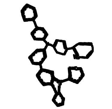 C1=C[SH]=C(C2=CC=C(N(c3ccc(-c4ccccc4)cc3)c3cccc(-c4ccc5c6ccccc6n(-c6ccccc6)c5c4)c3)CC2)C=C1